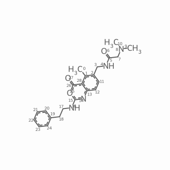 Cc1c(CNC(=O)CN(C)C)ccc2nc(NCCc3ccccc3)oc(=O)c12